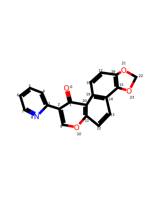 O=c1c(-c2ccccn2)coc2ccc3c4c(ccc3c12)OCO4